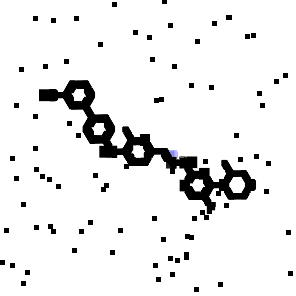 Cc1nc(/C=N/Nc2ncc(F)c(N3CCOCC3C)n2)ccc1Nc1ccc(-c2cccc(O)c2)cc1